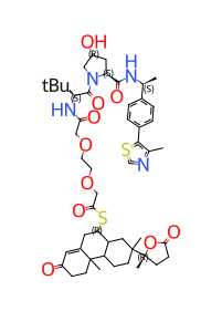 Cc1ncsc1-c1ccc([C@H](C)NC(=O)[C@@H]2C[C@@H](O)CN2C(=O)[C@@H](NC(=O)COCCOCC(=O)S[C@@H]2CC3=CC(=O)CCC3(C)C3CCC(C)([C@@]4(C)CCC(=O)O4)CC32)C(C)(C)C)cc1